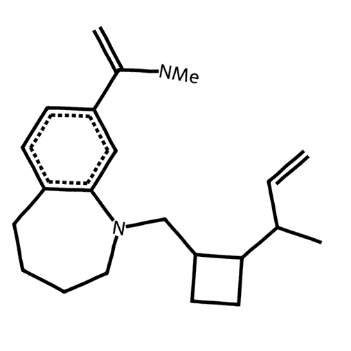 C=CC(C)C1CCC1CN1CCCCc2ccc(C(=C)NC)cc21